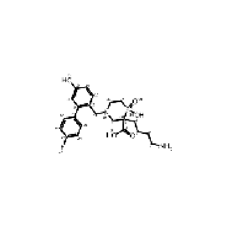 NCCCC[C@@]1(C(=O)O)CN(Cc2ccc(O)cc2-c2ccc(F)cc2)CCP1(=O)O